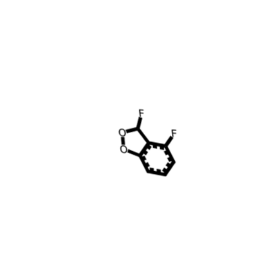 F[C]1OOc2cccc(F)c21